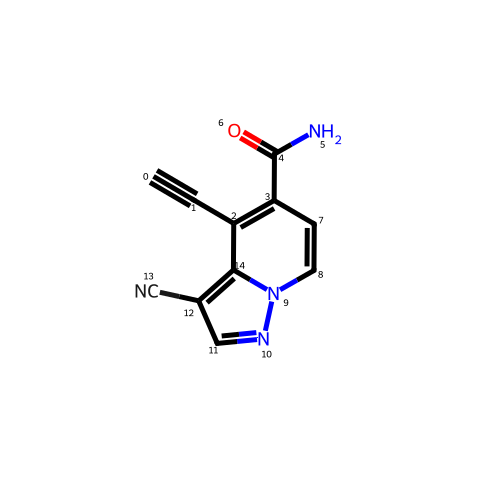 C#Cc1c(C(N)=O)ccn2ncc(C#N)c12